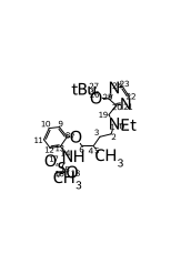 CCN(CCC(C)COc1ccccc1NS(C)(=O)=O)Cc1nccnc1OC(C)(C)C